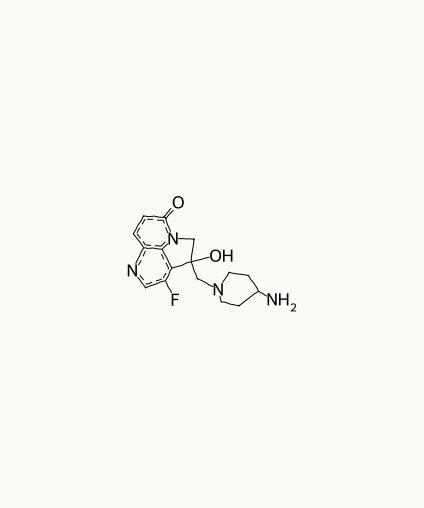 NC1CCN(CC2(O)Cn3c(=O)ccc4ncc(F)c2c43)CC1